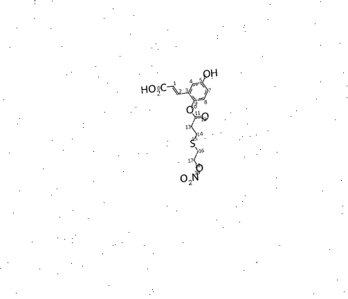 O=C(O)C=Cc1cc(O)ccc1OC(=O)CCSCCO[N+](=O)[O-]